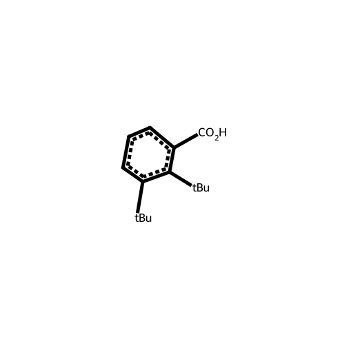 CC(C)(C)c1cccc(C(=O)O)c1C(C)(C)C